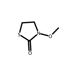 CON1CCSC1=O